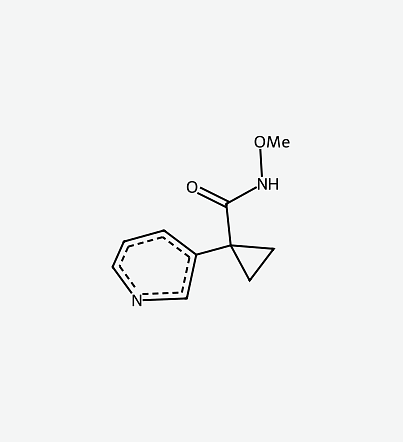 CONC(=O)C1(c2cccnc2)CC1